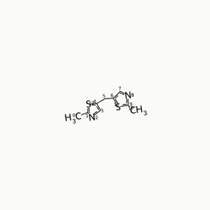 Cc1ncc(Cc2cnc(C)s2)s1